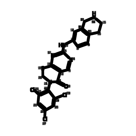 O=C1c2cnc(Nc3ccc4c(c3)CNCC4)nc2SCN1c1c(Cl)cc(Cl)cc1Cl